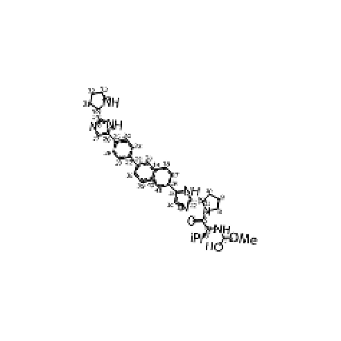 COC(O)N[C@H](C(=O)N1CCC[C@H]1c1ncc(-c2ccc3cc(-c4ccc(-c5cnc([C@@H]6CCCN6)[nH]5)cc4)ccc3c2)[nH]1)C(C)C